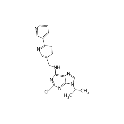 CC(C)n1cnc2c(NCc3ccc(-c4cccnc4)nc3)nc(Cl)nc21